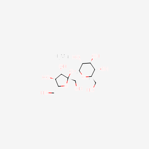 OC[C@H]1O[C@@](CO)(O[C@H]2O[C@H](CO)[C@@H](O)[C@H](O)[C@H]2O)[C@@H](O)[C@@H]1O.[MgH2]